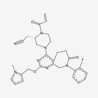 C=CC(=O)N1CCN(c2nc(OCc3cccn3C)nc3c2CCC(=O)N(c2ccccc2F)C3)C[C@@H]1CC#N